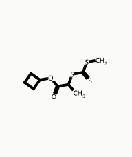 CSC(=S)SC(C)C(=O)OC1CCC1